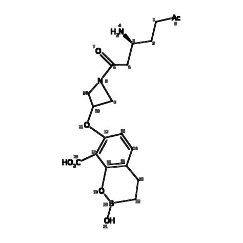 CC(=O)CC[C@H](N)CC(=O)N1CC(Oc2ccc3c(c2C(=O)O)OB(O)CC3)C1